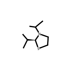 CC(C)[C@@H]1SCCN1C(C)C